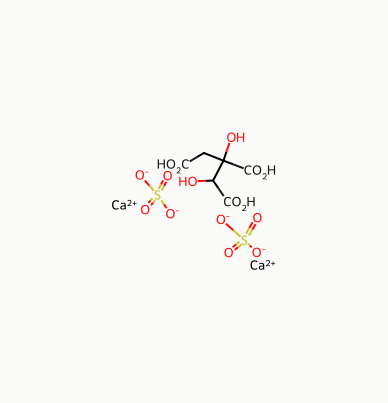 O=C(O)CC(O)(C(=O)O)C(O)C(=O)O.O=S(=O)([O-])[O-].O=S(=O)([O-])[O-].[Ca+2].[Ca+2]